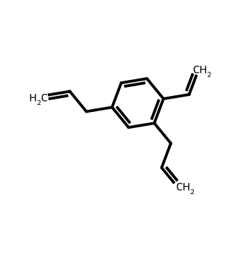 C=CCc1ccc(C=C)c(CC=C)c1